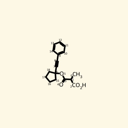 CC(C(=O)O)C(=O)OC1(C#Cc2ccccc2)CCCC1